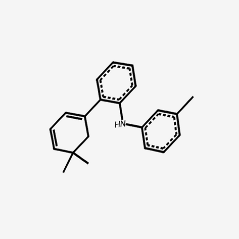 Cc1cccc(Nc2ccccc2C2=CC=CC(C)(C)C2)c1